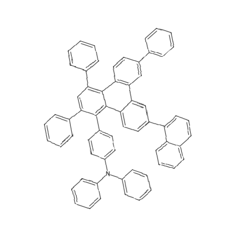 c1ccc(-c2ccc3c(c2)c2cc(-c4cccc5ccccc45)ccc2c2c(-c4ccc(N(c5ccccc5)c5ccccc5)cc4)c(-c4ccccc4)cc(-c4ccccc4)c32)cc1